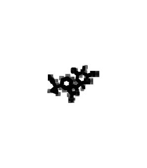 CN1C(=N)N[C@](C)(c2ccc(Br)s2)[C@H](c2ccc(C3(C#N)CC3)cc2)C1=O